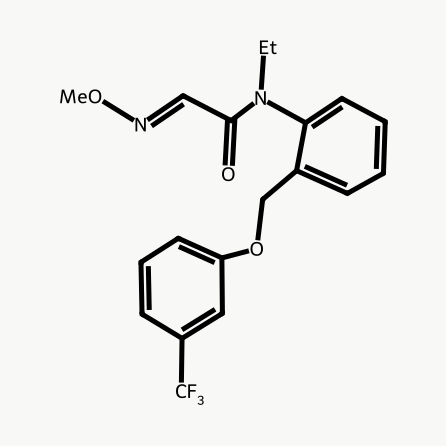 CCN(C(=O)C=NOC)c1ccccc1COc1cccc(C(F)(F)F)c1